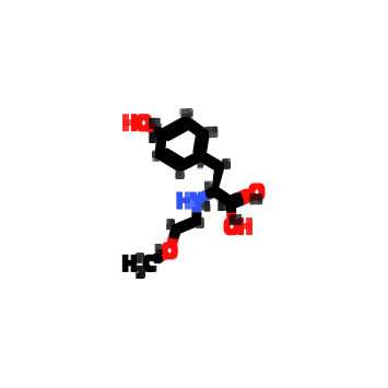 COCCN[C@@H](Cc1ccc(O)cc1)C(=O)O